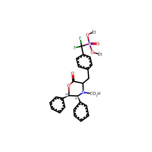 CCOP(=O)(OCC)C(F)(F)c1ccc(CC2C(=O)O[C@H](c3ccccc3)[C@H](c3ccccc3)N2C(=O)O)cc1